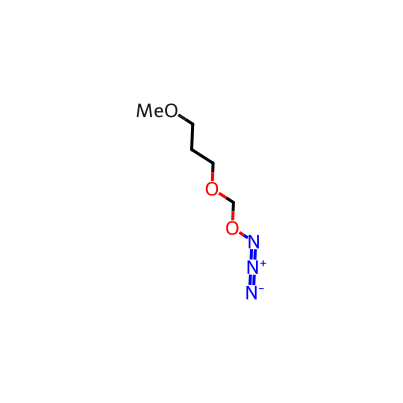 COCCCOCON=[N+]=[N-]